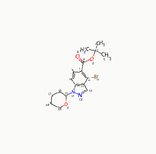 CC(C)(C)OC(=O)c1ccc2c(cnn2C2CCCCO2)c1Br